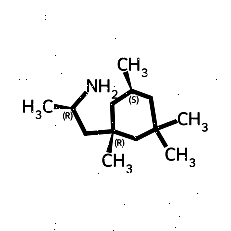 C[C@H]1CC(C)(C)C[C@](C)(C[C@@H](C)N)C1